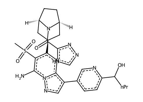 CCCC(O)c1ccc(-c2cnn3c(N)c(S(C)(=O)=O)c([C@H]4C[C@H]5CC[C@@H](C4)N5C(=O)c4nnc[nH]4)nc23)cn1